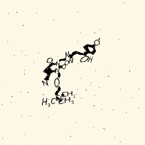 C[Si](C)(C)CCOCn1c(C#N)cc(=O)n(Cc2nc(C[C@H](O)c3ccc(Cl)cc3)no2)c1=O